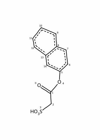 O=C(CS(=O)(=O)O)Oc1ccc2ccccc2c1